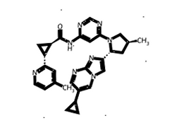 Cc1ccnc([C@@H]2C[C@H]2C(=O)Nc2cc(N3C[C@@H](C)C[C@@H]3c3cn4cc(C5CC5)cnc4n3)ncn2)c1